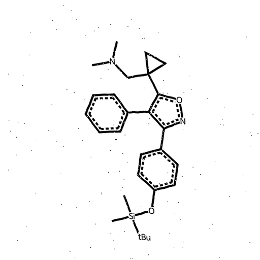 CN(C)CC1(c2onc(-c3ccc(O[Si](C)(C)C(C)(C)C)cc3)c2-c2ccccc2)CC1